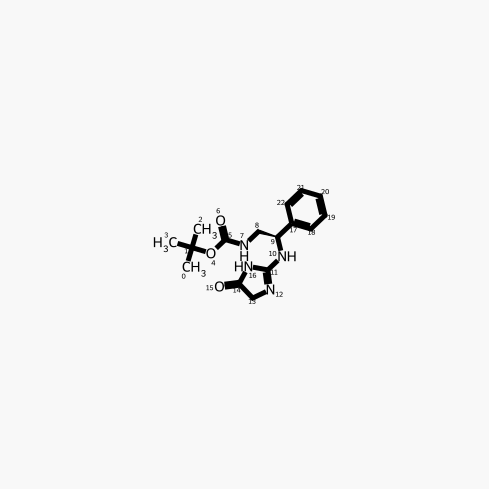 CC(C)(C)OC(=O)NC[C@H](NC1=NCC(=O)N1)c1ccccc1